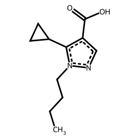 CCCCn1ncc(C(=O)O)c1C1CC1